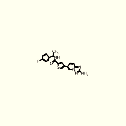 Nc1nc2ccc(-c3csc(C(=O)NC(c4ccc(F)cc4)C(F)(F)F)c3)cn2n1